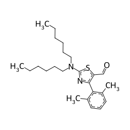 CCCCCCN(CCCCCC)c1nc(-c2c(C)cccc2C)c(C=O)s1